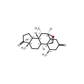 C[C@H]1[C@@H]2[C@H](CC[C@]3(C)C(=O)CC[C@@H]23)[C@]23CO[C@H]1[C@@]2(Br)CC(=O)C[C@H]3C